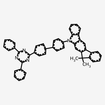 CC1(C)c2ccccc2-c2cc3c4ccccc4n(-c4ccc(-c5ccc(-c6nc(-c7ccccc7)nc(-c7ccccc7)n6)cc5)cc4)c3cc21